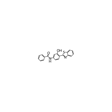 O=C(Nc1ccc(-c2nc3ccccc3s2)c(O)c1)c1ccccc1